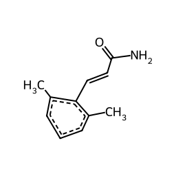 Cc1cccc(C)c1C=CC(N)=O